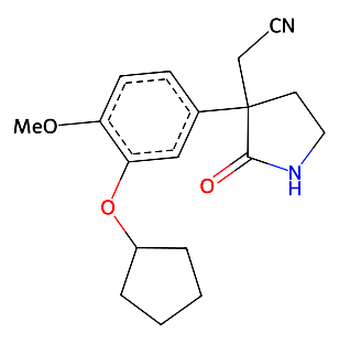 COc1ccc(C2(CC#N)CCNC2=O)cc1OC1CCCC1